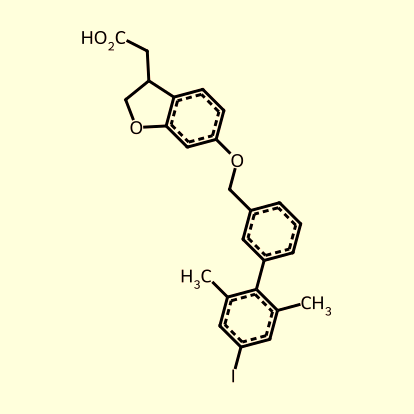 Cc1cc(I)cc(C)c1-c1cccc(COc2ccc3c(c2)OCC3CC(=O)O)c1